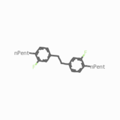 CCCCCc1ccc(CCc2ccc(CCCCC)c(F)c2)cc1F